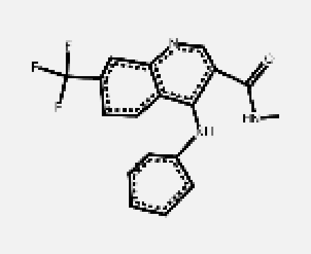 CNC(=O)c1cnc2cc(C(F)(F)F)ccc2c1Nc1ccccc1